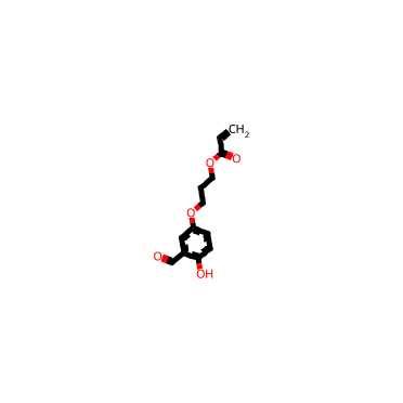 C=CC(=O)OCCCOc1ccc(O)c(C=O)c1